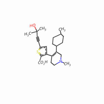 CC1CCC(C2=C(c3cc(C#CC(C)(C)O)sc3C(=O)O)CCN(C)C2)CC1